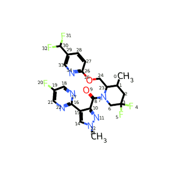 CC1CC(F)(F)CN(C(=O)c2nn(C)cc2-c2ncc(F)cn2)C1COc1ccc(C(F)F)cn1